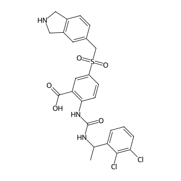 CC(NC(=O)Nc1ccc(S(=O)(=O)Cc2ccc3c(c2)CNC3)cc1C(=O)O)c1cccc(Cl)c1Cl